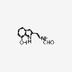 O=CNC=Cc1cc2cccc(O)c2[nH]1